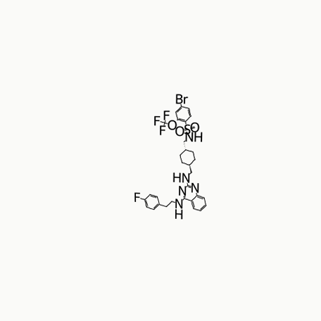 O=S(=O)(NC[C@H]1CC[C@H](CNc2nc(NCCc3ccc(F)cc3)c3ccccc3n2)CC1)c1ccc(Br)cc1OC(F)(F)F